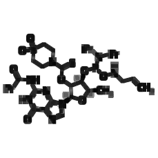 C=CCNOP(O[C@@H]1C(OC(=S)N2CCS(=O)(=O)CC2)[C@H](n2cnc3c(=O)[nH]c(NC(=O)C(C)C)nc32)O[C@@H]1C)N(C(C)C)C(C)C